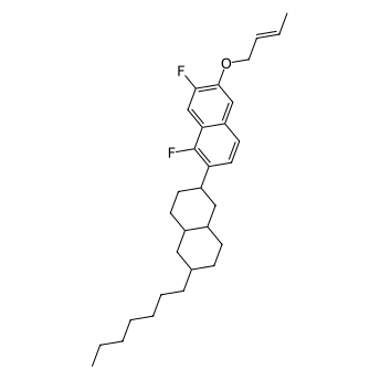 CC=CCOc1cc2ccc(C3CCC4CC(CCCCCCC)CCC4C3)c(F)c2cc1F